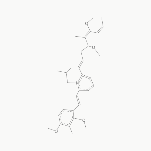 COC(/C=C\I)=C(\C)C(C/C=C/c1cccc(/C=C/c2ccc(OC)c(C)c2OC)[n+]1CC(C)C)OC